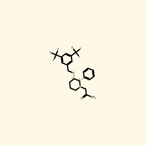 NC(=O)CN1CCC[C@H](OCc2cc(C(F)(F)F)cc(C(F)(F)F)c2)[C@@H]1c1ccccc1